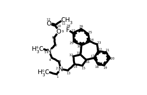 CCN(CCN(C)CCOC(C)=O)CC1CC2c3ccccc3Cc3ccc(F)cc3C2C1